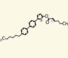 CCC/C=C/C(=O)Oc1ccc(-c2ccc(-c3ccc(CCCCCC)cc3)cc2)s1